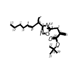 C=C(Cc1nc(C(C)CCCCCC)no1)C(=O)OC(C)(C)C